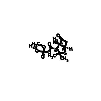 COP(=O)(OC)OC(=O)[C@H]1C(C)(C)S[C@@H]2CC(=O)[N+]21N